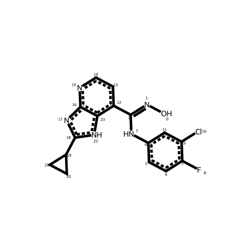 O/N=C(\Nc1ccc(F)c(Cl)c1)c1ccnc2nc(C3CC3)[nH]c12